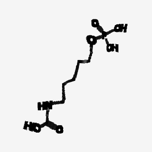 O=C(O)NCCCCCOP(=O)(O)O